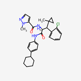 Cn1nccc1C(=O)N[C@H](C(=O)Nc1ccc(C2CCCCC2)cc1)C(c1ccccc1Cl)C1(C)CC1